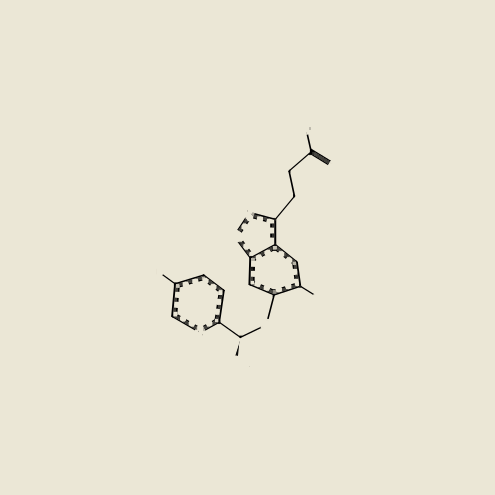 C[C@H](Oc1cc2onc(CCC(=O)O)c2cc1Cl)c1ccc(F)cn1